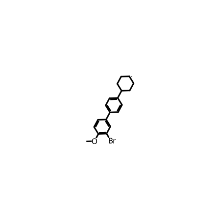 COc1ccc(-c2ccc(C3CC[CH]CC3)cc2)cc1Br